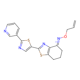 C=CCO/N=C1\CCCc2sc(-c3cnc(-c4cccnc4)s3)nc21